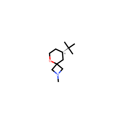 CN1CC2(C[C@@H](C(C)(C)C)CCO2)C1